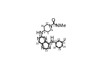 CNC(=O)N1CCC(Nc2ncc3ncnc(Nc4cccc(C)c4)c3n2)CC1